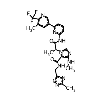 CNc1ncn([C@@H](C)C(=O)Nc2cccc(-c3cnc(C(F)(F)F)c(C)c3)n2)c1C(=O)NCc1nc(C)no1